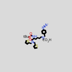 CC(C)(C)OC(=O)NC(CCCCN(Cc1ccc(N=[N+]=[N-])cc1)C(=O)O)C(=O)N(Cc1cccs1)Cc1cccs1